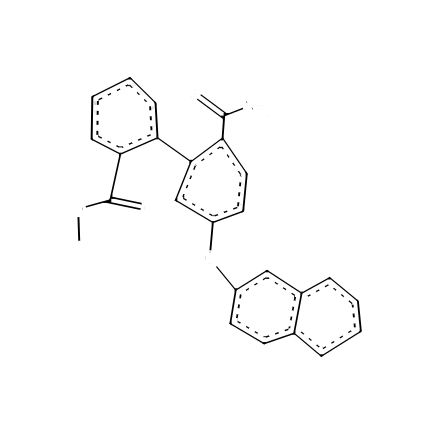 COC(=O)c1ccccc1-c1cc(Oc2ccc3ccccc3c2)ccc1C(N)=O